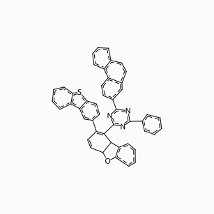 C1=CC2Oc3ccccc3C2C(c2nc(-c3ccccc3)nc(-c3ccc4c(ccc5ccccc54)c3)n2)=C1c1ccc2sc3ccccc3c2c1